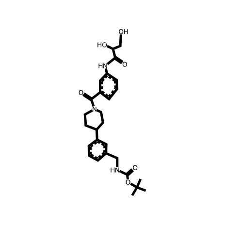 CC(C)(C)OC(=O)NCc1cccc(C2CCN(C(=O)c3cccc(NC(=O)C(O)CO)c3)CC2)c1